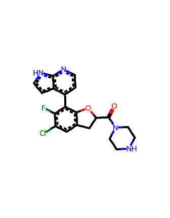 O=C(C1Cc2cc(Cl)c(F)c(-c3ccnc4[nH]ccc34)c2O1)N1CCNCC1